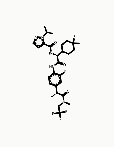 CC(C)n1nccc1C(=O)N[C@H](C(=O)Nc1ccc([C@H](C)C(=O)N(C)CC(F)(F)F)cc1F)C1CCC(F)(F)CC1